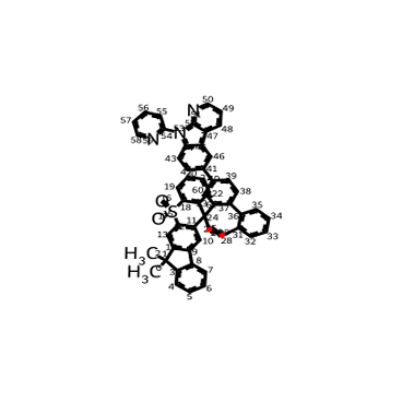 CC1(C)c2ccccc2-c2cc3c(cc21)S(=O)(=O)c1ccccc1C31c2ccccc2-c2ccccc2-c2ccc(-c3ccc4c(c3)c3cccnc3n4-c3ccccn3)cc21